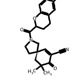 CC1(C)C[C@@]2(C=C(C#N)C1=O)CCN(C(=O)C1CCc3cc(Br)ccc3O1)C2